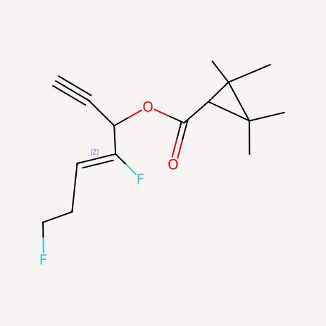 C#CC(OC(=O)C1C(C)(C)C1(C)C)/C(F)=C/CCF